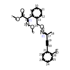 CO/N=C(/C(=O)OC)c1ccccc1CO/N=C(\C)C#Cc1ccccc1F